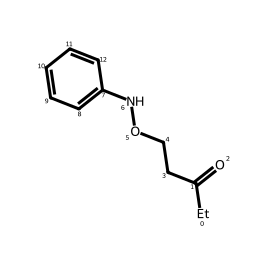 CCC(=O)CCONc1ccccc1